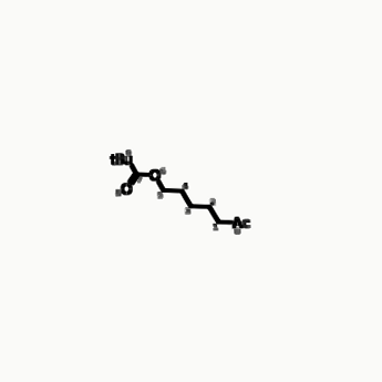 CC(=O)CCCCCOC(=O)C(C)(C)C